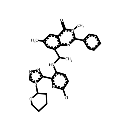 Cc1cc(C(C)Nc2ccc(Cl)nc2-c2nncn2C2CCCCO2)c2nc(-c3ccccc3)n(C)c(=O)c2c1